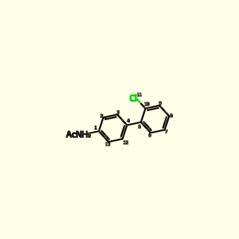 CC(=O)Nc1[c]cc(-c2ccccc2Cl)cc1